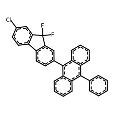 FC1(F)c2cc(Cl)ccc2-c2ccc(-c3c4ccccc4c(-c4ccccc4)c4ccccc34)cc21